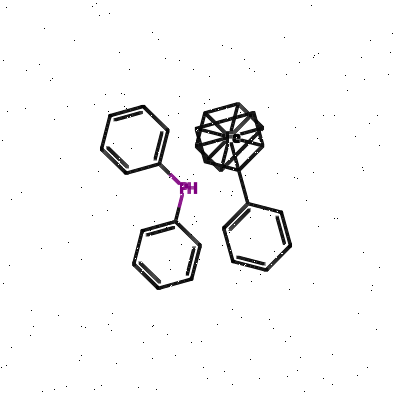 c1ccc(Pc2ccccc2)cc1.c1ccc([C]23[CH]4[CH]5[CH]6[CH]2[Fe]56432789[CH]3[CH]2[CH]7[CH]8[CH]39)cc1